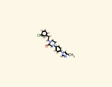 Cc1cn(-c2ccc(N3CCN(CCc4cccc(Cl)c4)C(=O)C3)cc2)cn1